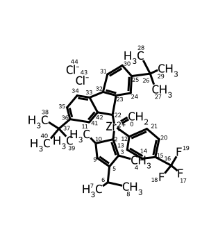 [CH2]=[Zr+2]([C]1=C(C)C(C(C)C)=CC1C)([c]1ccc(C(F)(F)F)cc1)[CH]1c2cc(C(C)(C)C)ccc2-c2ccc(C(C)(C)C)cc21.[Cl-].[Cl-]